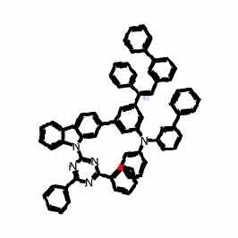 C(=C(/c1ccccc1)c1cc(-c2ccc3c4ccccc4n(-c4nc(-c5ccccc5)nc(-c5ccccc5)n4)c3c2)cc(N(c2ccccc2)c2cccc(-c3ccccc3)c2)c1)/c1cccc(-c2ccccc2)c1